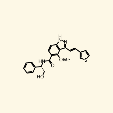 COc1c(C(=O)N[C@H](CO)c2ccccc2)ccc2[nH]nc(/C=C/c3ccsc3)c12